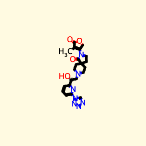 CC1=C(N2CCC3(CCN(C[C@H](O)c4cccc(-n5cnnn5)n4)CC3)C2=O)COC1=O